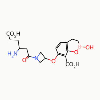 NC(CCC(=O)O)CC(=O)N1CC(Oc2ccc3c(c2C(=O)O)OB(O)CC3)C1